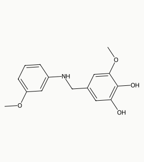 COc1cccc(NCc2cc(O)c(O)c(OC)c2)c1